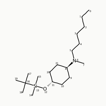 CCCCCCN(C)[C@H]1CC[C@H](O[Si](C)(C)C(C)(C)C)CC1